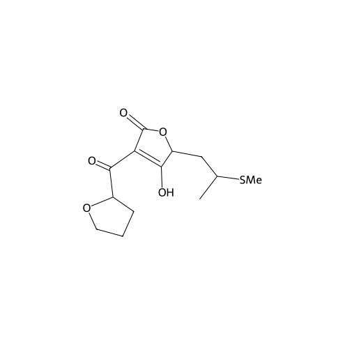 CSC(C)CC1OC(=O)C(C(=O)C2CCCO2)=C1O